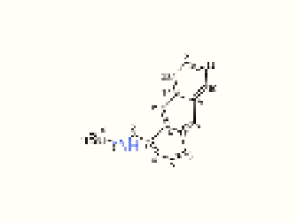 CCCCNCc1cccc2cc3ccccc3cc12